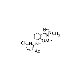 COc1c(Nc2nc(Cl)ncc2C(C)=O)cccc1-c1ncn(C)n1